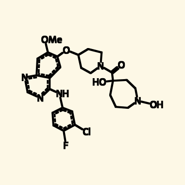 COc1cc2ncnc(Nc3ccc(F)c(Cl)c3)c2cc1OC1CCN(C(=O)C2(O)CCCN(O)CC2)CC1